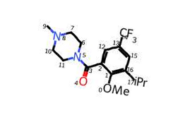 COc1c(C(=O)N2CCN(C)CC2)cc(C(F)(F)F)cc1C(C)C